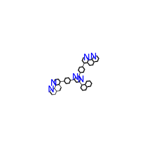 C1=CN=C2c3nccc(-c4ccc(-c5cc(-c6cccc7ccccc67)nc(-c6ccc(-c7ccnc8c7ccc7cccnc78)cc6)n5)cc4)c3C=CC2C1